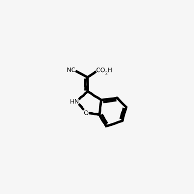 N#CC(C(=O)O)=C1NOc2ccccc21